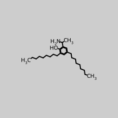 CCCCCCCCCc1cc(CCCCCCCCC)c(O)c(C(C)N)c1